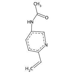 C=Cc1ccc(NC(C)=O)cn1